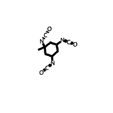 CC1(N=C=O)CC(N=C=O)CC(N=C=O)C1